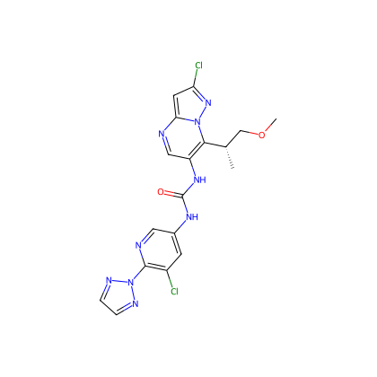 COC[C@H](C)c1c(NC(=O)Nc2cnc(-n3nccn3)c(Cl)c2)cnc2cc(Cl)nn12